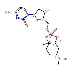 C=C(C)[C@@H]1CC[C@]2(C)S[P@@](=S)(OC[C@H]3O[C@@H](n4ccc(N)nc4=O)C[C@@H]3C)O[C@H]2C1